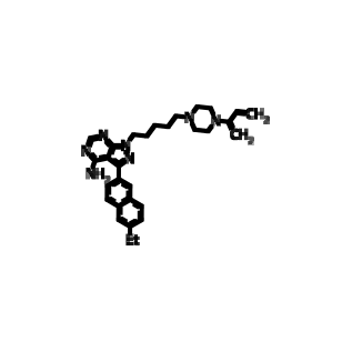 C=CC(=C)N1CCN(CCCCCn2nc(-c3ccc4cc(CC)ccc4c3)c3c(N)ncnc32)CC1